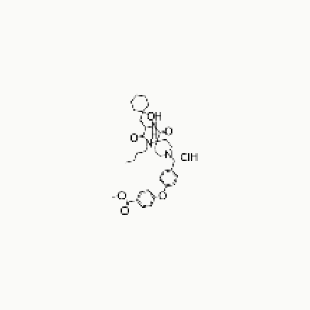 CCCCN1C(=O)[C@@H](CC2(O)CCCCC2)NC(=O)C12CCN(Cc1ccc(Oc3ccc(C(=O)OC)cc3)cc1)CC2.Cl